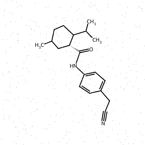 CC1CCC(C(C)C)[C@H](C(=O)Nc2ccc(CC#N)cc2)C1